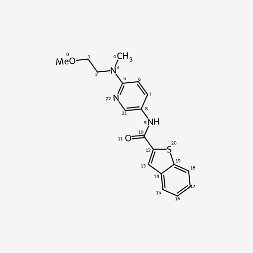 COCCN(C)c1ccc(NC(=O)c2cc3ccccc3s2)cn1